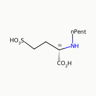 CCCCCN[C@@H](CCS(=O)(=O)O)C(=O)O